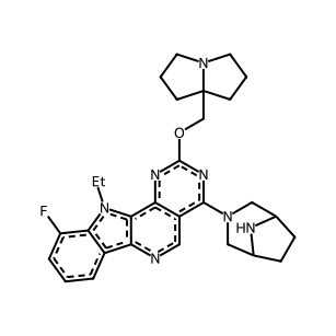 CCn1c2c(F)cccc2c2ncc3c(N4CC5CCC(C4)N5)nc(OCC45CCCN4CCC5)nc3c21